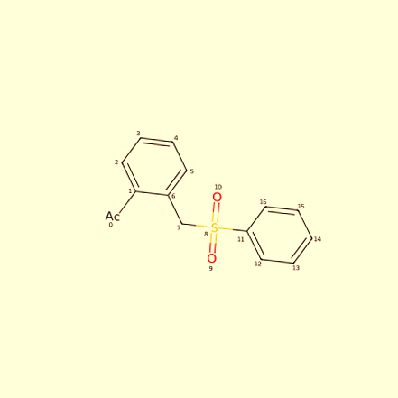 CC(=O)c1ccccc1CS(=O)(=O)c1ccccc1